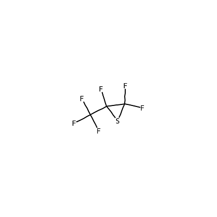 FC(F)(F)C1(F)SC1(F)F